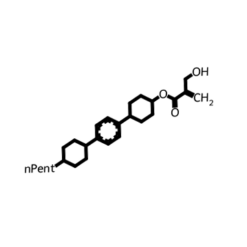 C=C(CO)C(=O)OC1CCC(c2ccc(C3CCC(CCCCC)CC3)cc2)CC1